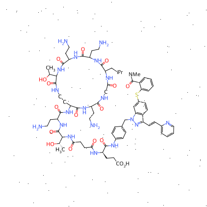 CNC(=O)c1ccccc1Sc1ccc2c(/C=C/c3ccccn3)nn(Cc3ccc(NC(=O)[C@@H](CCC(=O)O)NC(=O)CCC(=O)NC(C(=O)NC(CCN)C(=O)NC4CCNC(=O)C(C(C)O)NC(=O)C(CCN)NC(=O)C(CCN)NC(=O)C(CC(C)C)NC(=O)CNC(=O)C(CCN)NC4=O)[C@H](C)O)cc3)c2c1